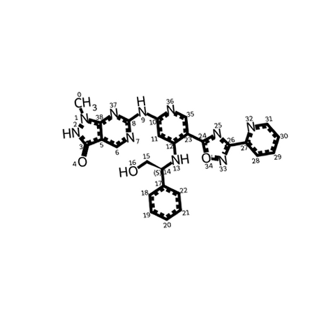 Cn1[nH]c(=O)c2cnc(Nc3cc(N[C@H](CO)c4ccccc4)c(-c4nc(-c5ccccn5)no4)cn3)nc21